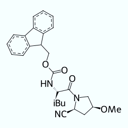 CC[C@H](C)[C@H](NC(=O)OCC1c2ccccc2-c2ccccc21)C(=O)N1C[C@@H](OC)C[C@H]1C#N